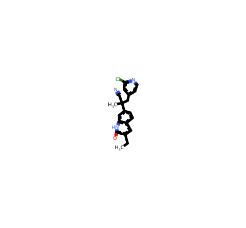 CCc1cc2ccc(C(C)(C#N)Cc3ccnc(Cl)c3)cc2[nH]c1=O